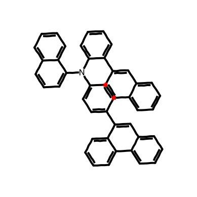 c1ccc(N(c2ccc(-c3cc4ccccc4c4ccccc34)cc2)c2cccc3ccccc23)c(-c2ccc3ccccc3c2)c1